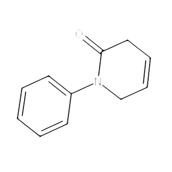 O=C1CC=CCN1c1ccccc1